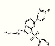 CNCc1cn(S(=O)(=O)c2cccnc2)c2cc(-c3ccc(F)nc3)ccc12